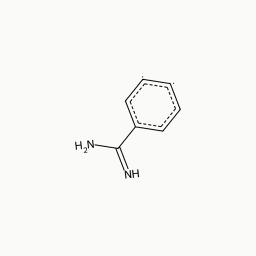 N=C(N)c1c[c][c]cc1